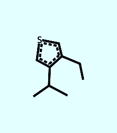 CCc1cscc1C(C)C